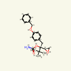 CC(C)(C)[C@](Cc1ccc(OCc2ccccc2)cc1)(OC(N)=O)[C@H]1CO1